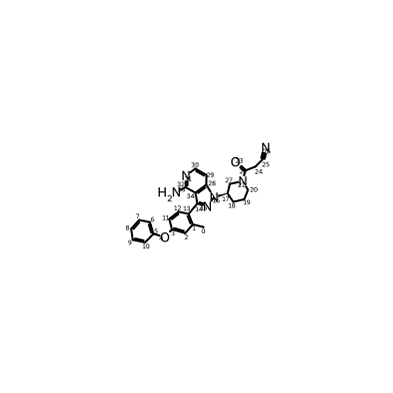 Cc1cc(Oc2ccccc2)ccc1-c1nn([C@@H]2CCCN(C(=O)CC#N)C2)c2ccnc(N)c12